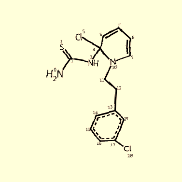 NC(=S)NC1(Cl)C=CC=CN1CCc1cccc(Cl)c1